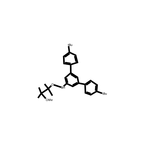 COC(C)(C)C(C)(C)OBc1cc(-c2ccc(C(C)(C)C)cc2)cc(-c2ccc(C(C)(C)C)cc2)c1